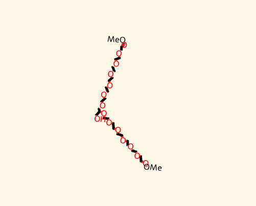 COOCCOCCOCCOCCOCCOCCOCC(CO)OCCOCCOCCOCCOCCOCCOOC